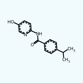 CC(C)c1ccc(C(=O)Nc2ccc(O)cn2)cc1